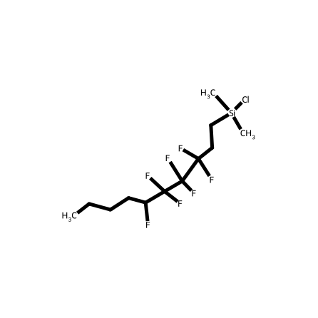 CCCCC(F)C(F)(F)C(F)(F)C(F)(F)CC[Si](C)(C)Cl